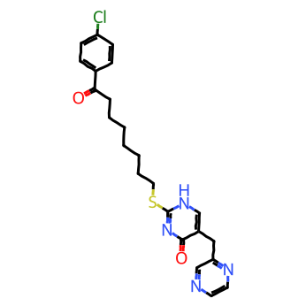 O=C(CCCCCCCSc1nc(=O)c(Cc2cnccn2)c[nH]1)c1ccc(Cl)cc1